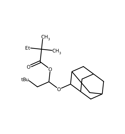 CCC(C)(C)C(=O)OC(CC(C)(C)C)OC1C2CC3CC(C2)CC1C3